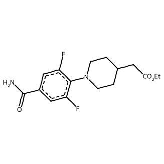 CCOC(=O)CC1CCN(c2c(F)cc(C(N)=O)cc2F)CC1